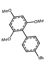 COc1cc(OC)c(-c2ccc(C(C)(C)C)cc2)c(OC)c1